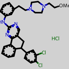 COCCN1CCN(CCc2cccc(Nc3ncc4c(n3)-c3ccccc3C(c3ccc(Cl)c(Cl)c3)C4)c2)CC1.Cl